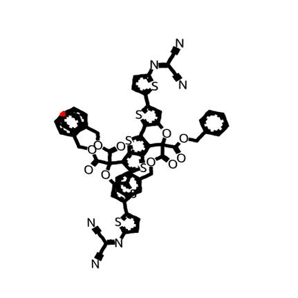 N#CC(C#N)=Nc1ccc(-c2cc3c(s2)-c2sc4c5c(sc4c2C(C(=O)OCc2ccccc2)(C(=O)OCc2ccccc2)O3)-c2sc(-c3ccc(N=C(C#N)C#N)s3)cc2OC5(C(=O)OCc2ccccc2)C(=O)OCc2ccccc2)s1